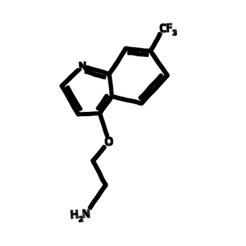 NCCOc1ccnc2cc(C(F)(F)F)ccc12